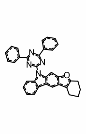 c1ccc(-c2nc(-c3ccccc3)nc(-n3c4ccccc4c4cc5c6c(oc5cc43)CCCC6)n2)cc1